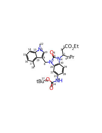 CCCC(CC(=O)OCC)n1c(=O)n(Cc2cn(C)c3cccc(C)c23)c2cc(NC(=O)OC(C)(C)C)ccc21